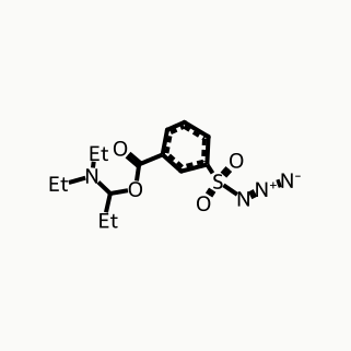 CCC(OC(=O)c1cccc(S(=O)(=O)N=[N+]=[N-])c1)N(CC)CC